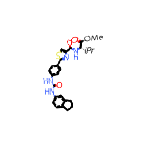 COC(=O)[C@@H](NC(=O)c1csc(-c2ccc(NC(=O)Nc3ccc4c(c3)CCC4)cc2)n1)C(C)C